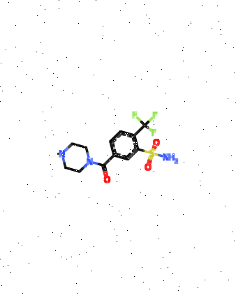 NS(=O)(=O)c1cc(C(=O)N2CC[N]CC2)ccc1C(F)(F)F